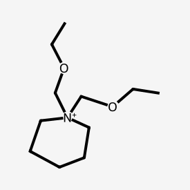 CCOC[N+]1(COCC)CCCCC1